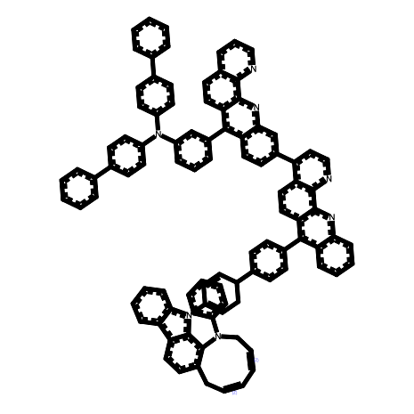 C1=CC(c2ccc(-c3c4ccccc4nc4c3ccc3c(-c5ccc6c(-c7cccc(N(c8ccc(-c9ccccc9)cc8)c8ccc(-c9ccccc9)cc8)c7)c7ccc8cccnc8c7nc6c5)ccnc34)cc2)CC=C1n1c2ccccc2c2ccc3c(c21)N(c1ccccc1)C/C=C\C=C/C3